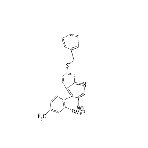 COc1cc(C(F)(F)F)ccc1-c1c([N+](=O)[O-])cnc2cc(SCc3ccccc3)ccc12